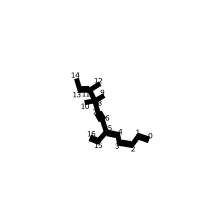 C=C/C=C\C=C(\C#CC(C)(C)/C(C)=C/C)C=C